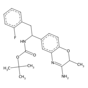 CC1Oc2ccc(C(Cc3ccccc3F)NC(=O)OC(C)(C)C)cc2N=C1N